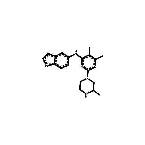 Cc1nc(N2CCNC(C)C2)nc(Nc2ccc3[nH]ncc3c2)c1C